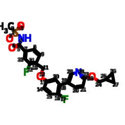 CS(=O)(=O)NC(=O)c1ccc(COc2ccc(F)c(-c3ccc(OCC4CC4)nc3)c2)c(F)c1